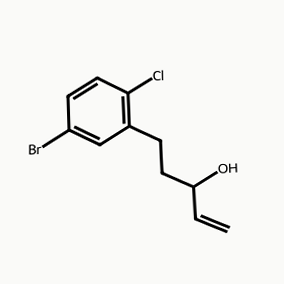 C=CC(O)CCc1cc(Br)ccc1Cl